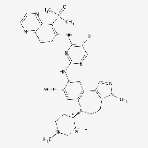 COc1cc2c(cc1Nc1ncc(Br)c(Nc3ccc4nccnc4c3P(C)(C)=O)n1)-c1cnn(C)c1CCN2[C@@H]1CCN(C)C[C@H]1F